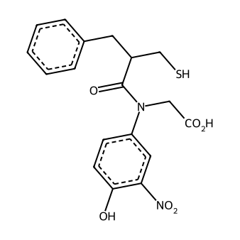 O=C(O)CN(C(=O)C(CS)Cc1ccccc1)c1ccc(O)c([N+](=O)[O-])c1